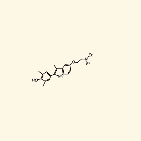 CCN(CC)CCOc1ccc2[nH]c(-c3cc(C)c(O)c(C)c3)c(C)c2c1